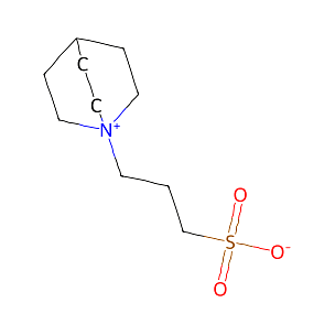 O=S(=O)([O-])CCC[N+]12CCC(CC1)CC2